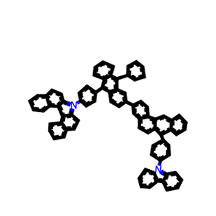 c1ccc(-c2c3ccccc3c(-c3ccc(-n4c5ccc6ccccc6c5c5c6ccccc6ccc54)cc3)c3ccc(-c4ccc5c(ccc6c(-c7ccc(-n8c9ccccc9c9ccccc98)cc7)c7ccccc7cc65)c4)cc23)cc1